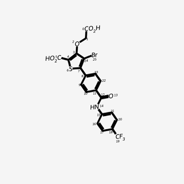 O=C(O)COc1c(C(=O)O)sc(-c2ccc(C(=O)Nc3ccc(C(F)(F)F)cc3)cc2)c1Br